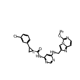 CC(C)Oc1nccc2nc(CNc3cc(NC(=O)[C@H]4CC4c4cccc(Cl)c4)ncn3)cn12